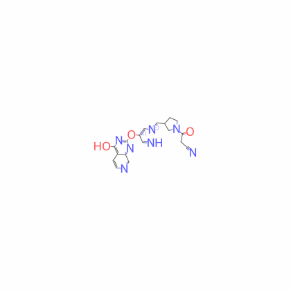 N#CCC(=O)N1CCC(/C=N/C=C(\C=N)Oc2nc(O)c3ccncc3n2)C1